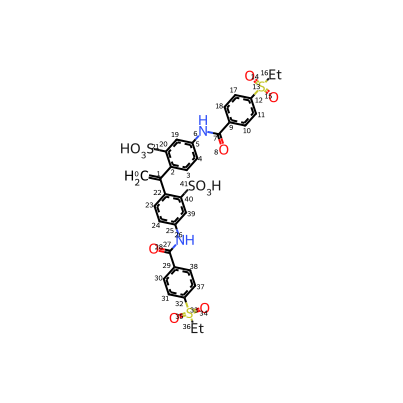 C=C(c1ccc(NC(=O)c2ccc(S(=O)(=O)CC)cc2)cc1S(=O)(=O)O)c1ccc(NC(=O)c2ccc(S(=O)(=O)CC)cc2)cc1S(=O)(=O)O